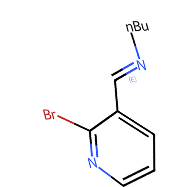 CCCC/N=C/c1cccnc1Br